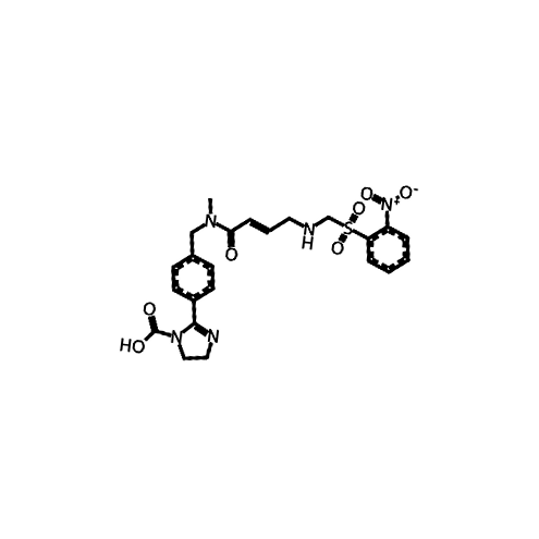 CN(Cc1ccc(C2=NCCN2C(=O)O)cc1)C(=O)C=CCNCS(=O)(=O)c1ccccc1[N+](=O)[O-]